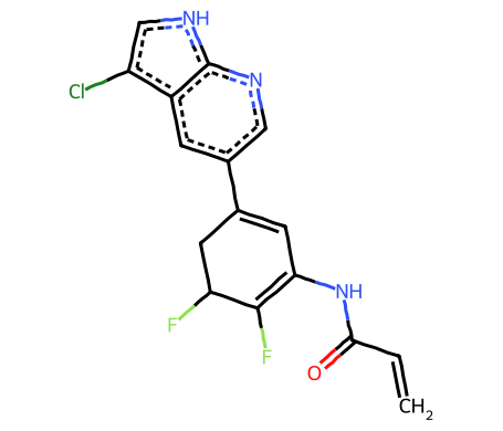 C=CC(=O)NC1=C(F)C(F)CC(c2cnc3[nH]cc(Cl)c3c2)=C1